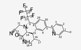 Cc1ccc(-c2ccc([C@H](N(CC#N)[C@@H](CC(C)C)C(N)=O)C(F)(F)C(F)(F)F)cc2)nc1